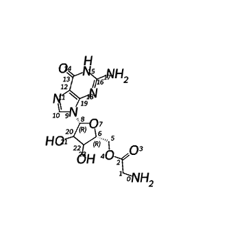 NCC(=O)OC[C@H]1O[C@@H](n2cnc3c(=O)[nH]c(N)nc32)C(O)C1O